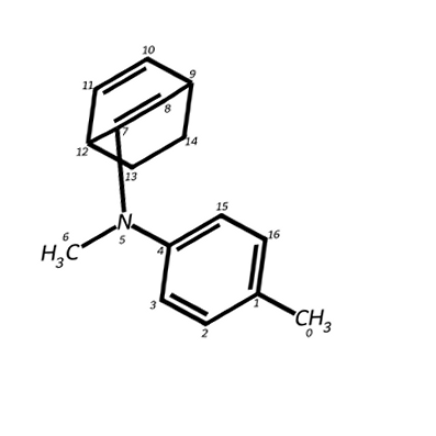 Cc1ccc(N(C)C2=CC3C=CC2CC3)cc1